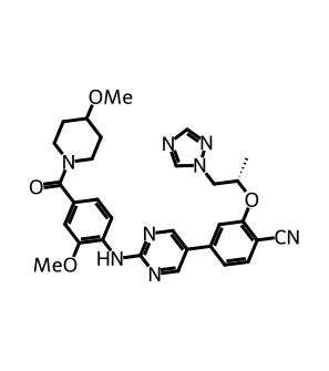 COc1cc(C(=O)N2CCC(OC)CC2)ccc1Nc1ncc(-c2ccc(C#N)c(O[C@@H](C)Cn3cncn3)c2)cn1